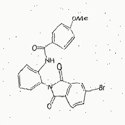 COc1ccc(C(=O)Nc2ccccc2N2C(=O)c3ccc(Br)cc3C2=O)cc1